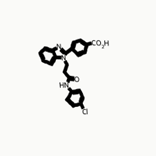 O=C(CCn1c(-c2ccc(C(=O)O)cc2)nc2ccccc21)Nc1ccc(Cl)cc1